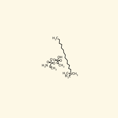 CCCCCCCCCCCCCC[N+](C)(C)C.COS(=O)(=O)O.COS(=O)(=O)[O-].N